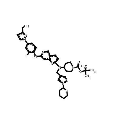 CC(C)(C)OC(=O)N1CCC(N(Cc2cnn(C3CCCCO3)c2)c2ccc3cnc(Nc4ccc(-n5ccc(CO)n5)cc4F)cc3n2)CC1